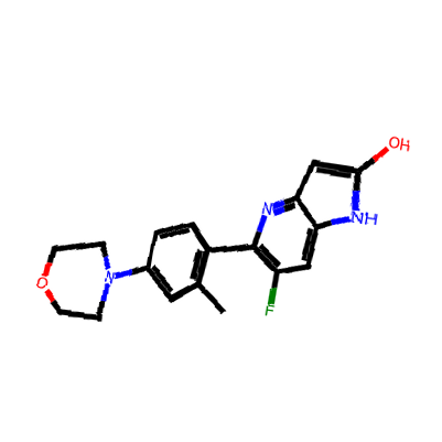 Cc1cc(N2CCOCC2)ccc1-c1nc2cc(O)[nH]c2cc1F